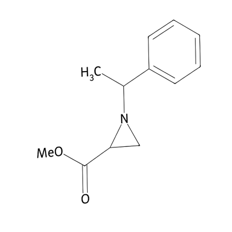 COC(=O)C1CN1C(C)c1ccccc1